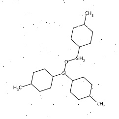 CC1CCC([SiH2]O[Si](C2CCC(C)CC2)C2CCC(C)CC2)CC1